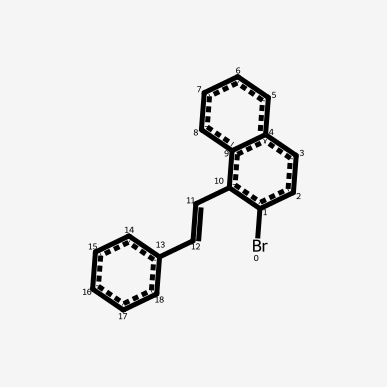 Brc1ccc2ccccc2c1C=Cc1ccccc1